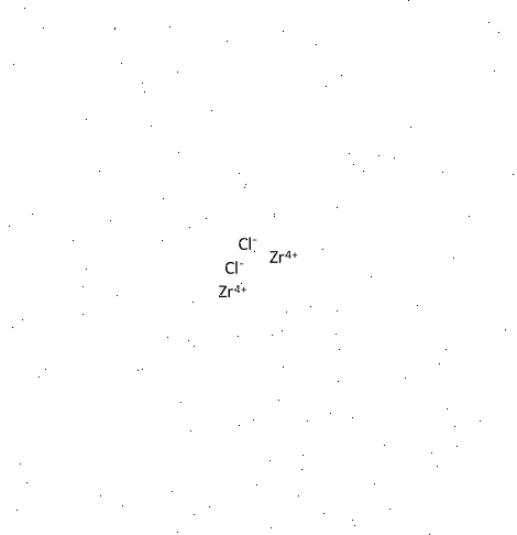 [Cl-].[Cl-].[Zr+4].[Zr+4]